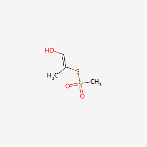 C/C(=C\O)SS(C)(=O)=O